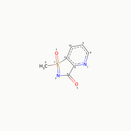 CS1(=O)=NC(=O)c2ncccc21